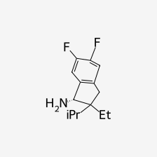 CCC1(C(C)C)Cc2cc(F)c(F)cc2[C@H]1N